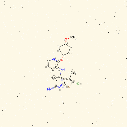 CO[C@H]1CC[C@H](Oc2ncccc2N/C(C)=C2\C(C)=C(Cl)S\C2=N\C=N)CC1